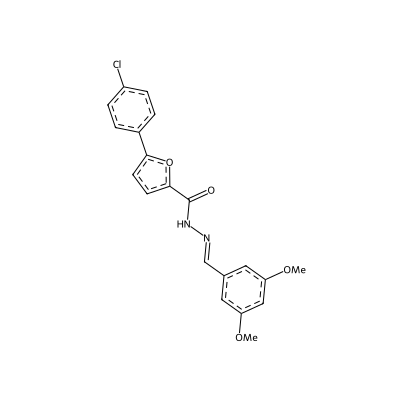 COc1cc(C=NNC(=O)c2ccc(-c3ccc(Cl)cc3)o2)cc(OC)c1